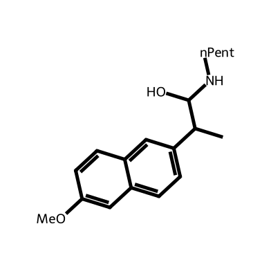 CCCCCNC(O)C(C)c1ccc2cc(OC)ccc2c1